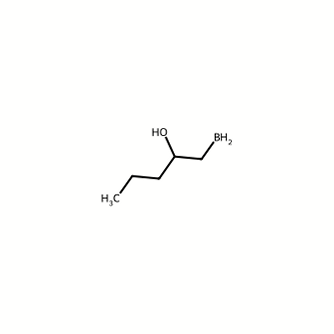 BCC(O)CCC